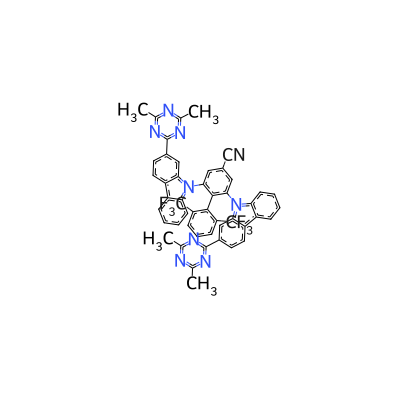 Cc1nc(C)nc(-c2ccc3c4ccccc4n(-c4cc(C#N)cc(-n5c6ccccc6c6ccc(-c7nc(C)nc(C)n7)cc65)c4-c4c(C(F)(F)F)cccc4C(F)(F)F)c3c2)n1